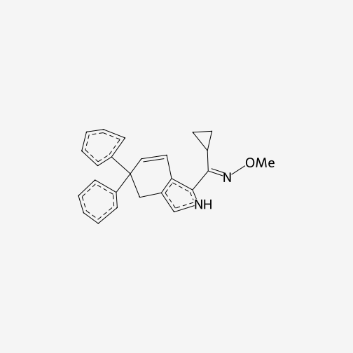 CO/N=C(/c1[nH]cc2c1C=CC(c1ccccc1)(c1ccccc1)C2)C1CC1